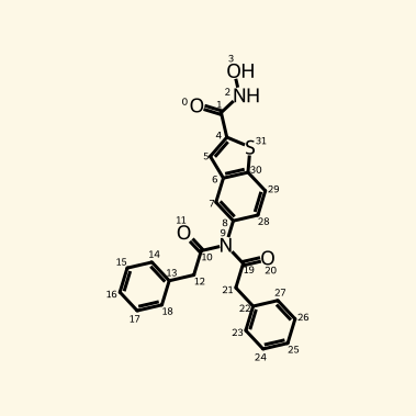 O=C(NO)c1cc2cc(N(C(=O)Cc3ccccc3)C(=O)Cc3ccccc3)ccc2s1